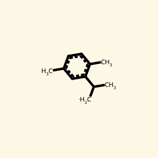 [CH2]C(C)c1cc(C)ccc1C